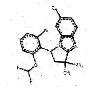 CC1(N)C[C@@H](c2c(Br)cccc2OC(F)F)n2c1nc1ccc(Cl)cc12